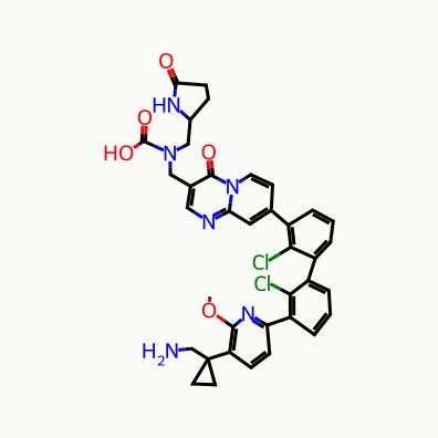 COc1nc(-c2cccc(-c3cccc(-c4ccn5c(=O)c(CN(CC6CCC(=O)N6)C(=O)O)cnc5c4)c3Cl)c2Cl)ccc1C1(CN)CC1